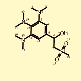 CN(C)c1cc(C(O)CS(C)(=O)=O)cc(N(C)C)c1N(C)C